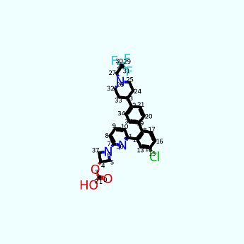 O=C(O)OC1CN(c2cccc(-c3cc(Cl)ccc3-c3ccc(C4CCN(CC(F)(F)F)CC4)cc3)n2)C1